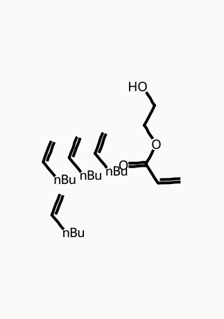 C=CC(=O)OCCO.C=CCCCC.C=CCCCC.C=CCCCC.C=CCCCC